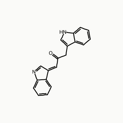 O=C(C=C1C=Nc2ccccc21)Cc1c[nH]c2ccccc12